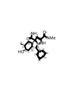 CNC(=O)C1=CC(C(N)=O)([C@H]2CC[C@H](O)[C@@H](C)C2)N([C@@H](C)c2ccccc2)N1